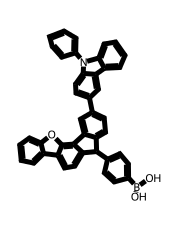 OB(O)c1ccc(C2c3ccc(-c4ccc5c(c4)c4ccccc4n5-c4ccccc4)cc3-c3c2ccc2c3oc3ccccc32)cc1